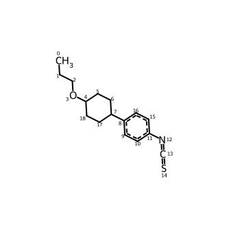 CCCOC1CCC(c2ccc(N=C=S)cc2)CC1